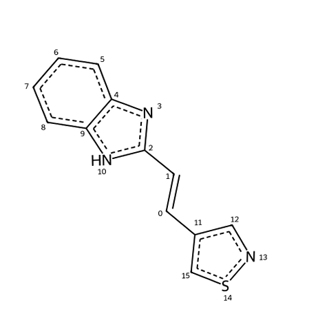 C(=Cc1nc2ccccc2[nH]1)c1cnsc1